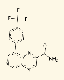 NC(=O)c1cnc2cncc(-c3ccc(C(F)(F)F)cc3)c2n1